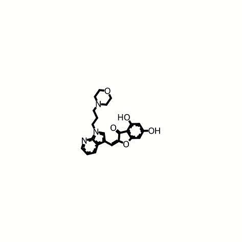 O=C1C(=Cc2cn(CCCN3CCOCC3)c3ncccc23)Oc2cc(O)cc(O)c21